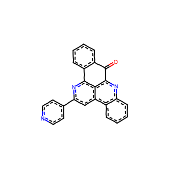 O=C1c2ccccc2-c2nc(-c3ccncc3)cc3c2c1nc1ccccc13